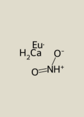 O=[NH+][O-].[CaH2].[Eu]